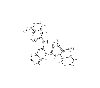 O=C(Nc1cc2ccccc2cc1C(=O)N[C@H](C(=O)O)C1CCCCC1)Nc1cccc(Cl)c1Cl